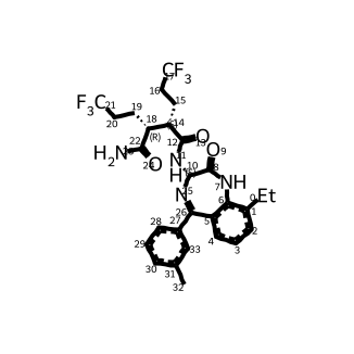 CCc1cccc2c1NC(=O)[C@@H](NC(=O)[C@@H](CCC(F)(F)F)[C@@H](CCC(F)(F)F)C(N)=O)N=C2c1cccc(C)c1